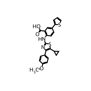 COc1ccc(-c2nc(Nc3ccc(-c4cccs4)cc3C(=O)O)sc2C2CC2)cc1